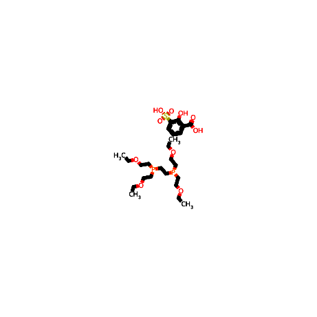 CCOCCP(CCOCC)CCP(CCOCC)CCOCC.O=C(O)c1cccc(S(=O)(=O)O)c1O